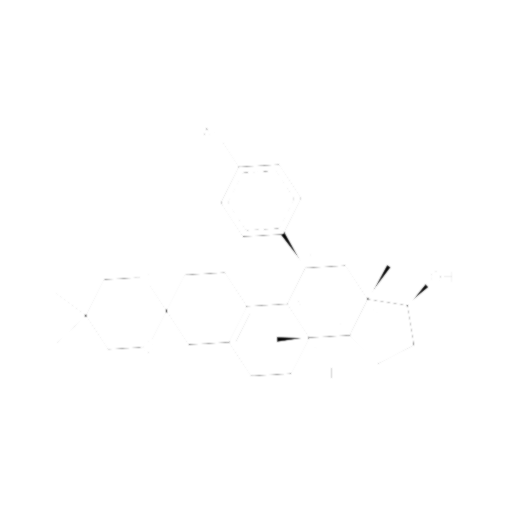 CC(=O)c1ccc([C@H]2C[C@]3(C)[C@@H](O)CC[C@H]3[C@@H]3CCC4=C(CCC5(C4)OCC(C)(C)CO5)[C@H]32)cc1